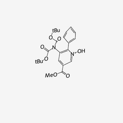 COC(=O)c1cc(N(C(=O)OC(C)(C)C)C(=O)OC(C)(C)C)c(-c2ccccc2)[n+](O)c1